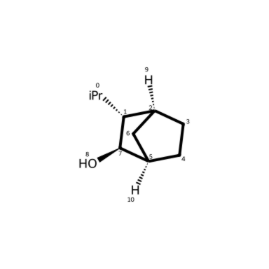 CC(C)[C@@H]1[C@H]2CC[C@H](C2)[C@H]1O